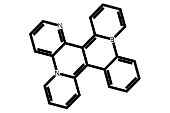 C1=CB2C(=C3C(=C4C=CC=CN4c4cccnc43)c3ccccc32)C=C1